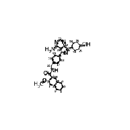 COc1cc2ccccc2cc1C(=O)NCc1ccc(-c2nn(C3CCC(O)CC3)c3ncnc(N)c23)cc1